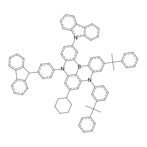 CC(C)(c1ccccc1)c1cccc(N2c3cc(C(C)(C)c4ccccc4)ccc3B3c4cc(-n5c6ccccc6c6ccccc65)ccc4N(c4ccc(C5c6ccccc6-c6ccccc65)cc4)c4cc(C5CCCCC5)cc2c43)c1